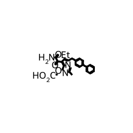 CCc1c(C(=O)C(N)=O)c2c(OCC(=O)O)nc(C)cn2c1Cc1ccc(-c2ccccc2)cc1